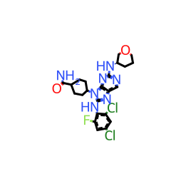 NC(=O)C1CCC(n2c(Nc3c(F)cc(Cl)cc3Cl)nc3cnc(N[C@H]4CCCOC4)nc32)CC1